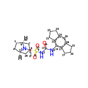 CCN1[C@@H]2CC[C@H]1C[C@H](S(=O)(=O)NC(=O)Nc1c3c(cc4c1CCC4)CCC3)C2